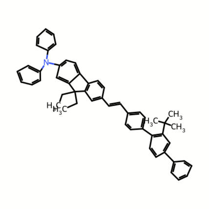 CCC1(CC)c2cc(/C=C/c3ccc(-c4ccc(-c5ccccc5)cc4C(C)(C)C)cc3)ccc2-c2ccc(N(c3ccccc3)c3ccccc3)cc21